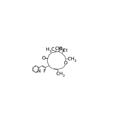 CCC1CC(C)OCCC(C)=CCC(C(F)=Cc2ccccn2)CC(=O)CCC(C)(C)C1=O